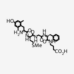 CSCC[C@@H](NC(=O)[C@@H](N)Cc1c(C)cc(O)cc1C)C(=O)NCC(=O)N[C@@H](Cc1ccccc1)C(=O)NCCCC(=O)O